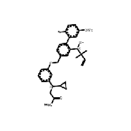 C=CC(C)(C)[C@H](O)c1cc(COc2cccc([C@H](CC(=O)OC)C3CC3)c2)ccc1-c1cc(OC)ccc1F